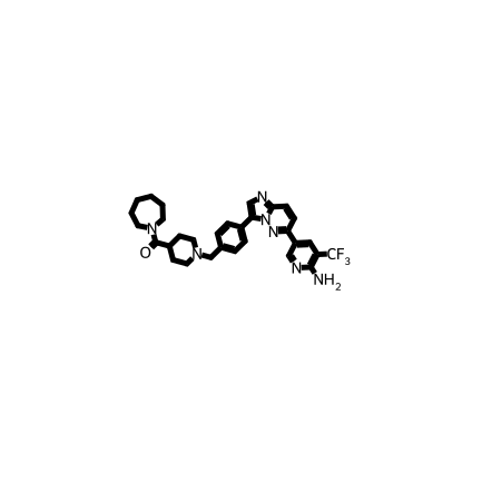 Nc1ncc(-c2ccc3ncc(-c4ccc(CN5CCC(C(=O)N6CCCCCC6)CC5)cc4)n3n2)cc1C(F)(F)F